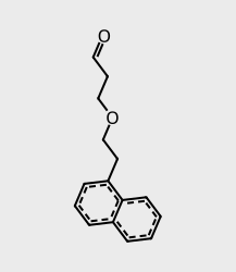 O=CCCOCCc1cccc2ccccc12